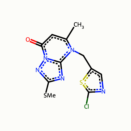 CSc1nc2n(Cc3cnc(Cl)s3)c(C)cc(=O)n2n1